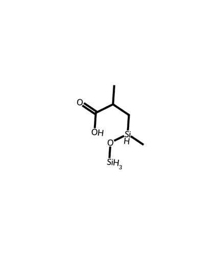 CC(C[SiH](C)O[SiH3])C(=O)O